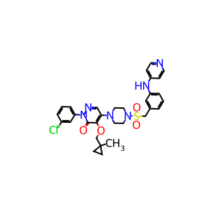 CC1(COc2c(N3CCN(S(=O)(=O)Cc4cccc(Nc5ccncc5)c4)CC3)cnn(-c3cccc(Cl)c3)c2=O)CC1